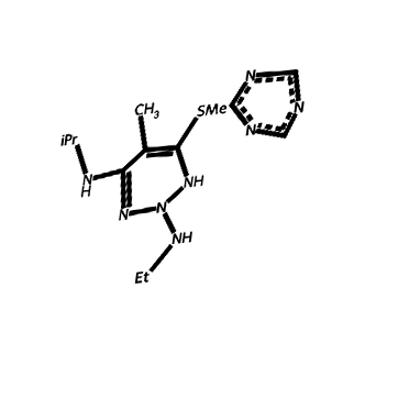 CCNN1N=C(NC(C)C)C(C)=C(SC)N1.c1ncncn1